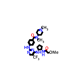 COCC(=O)N[C@H]1CCC[C@H]1Nc1nc(Nc2ccc(C(=O)N(C)C3CCN(C)CC3)cc2)ncc1C(F)(F)F